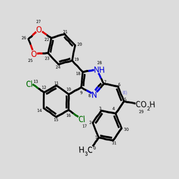 Cc1ccc(/C(=C\c2nc(-c3cc(Cl)ccc3Cl)c(-c3ccc4c(c3)OCO4)[nH]2)C(=O)O)cc1